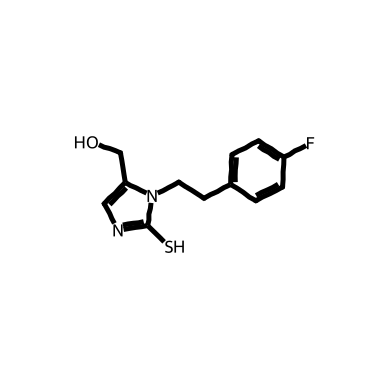 OCc1cnc(S)n1CCc1ccc(F)cc1